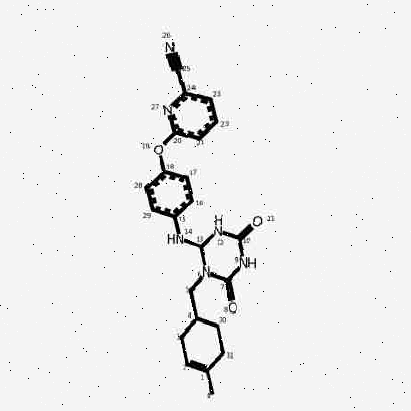 CC1=CCC(CN2C(=O)NC(=O)NC2Nc2ccc(Oc3cccc(C#N)n3)cc2)CC1